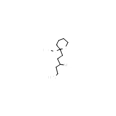 C[SiH2]C1(CCC(N)CCN)CCCCO1